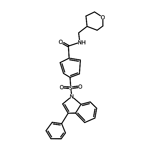 O=C(NCC1CCOCC1)c1ccc(S(=O)(=O)n2cc(-c3ccccc3)c3ccccc32)cc1